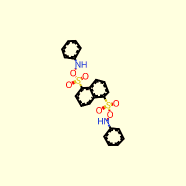 O=S(=O)(ONc1ccccc1)c1cccc2c(S(=O)(=O)ONc3ccccc3)cccc12